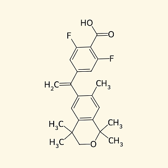 C=C(c1cc(F)c(C(=O)O)c(F)c1)c1cc2c(cc1C)C(C)(C)OCC2(C)C